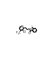 O=C(NCCc1nccc(C(F)(F)F)c1Cl)c1ccccc1I